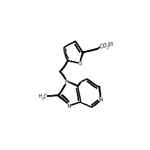 CCOC(=O)c1ccc(Cn2c(C)nc3cnccc32)o1